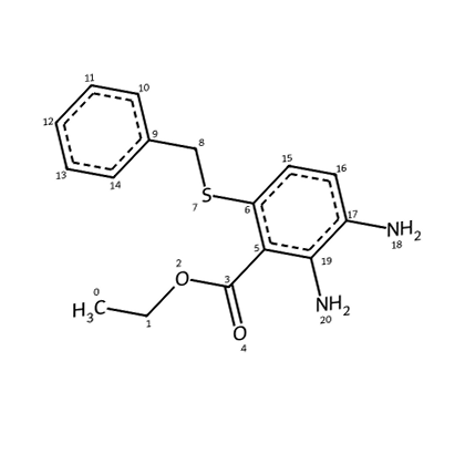 CCOC(=O)c1c(SCc2ccccc2)ccc(N)c1N